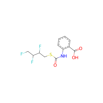 O=C(Nc1ccccc1C(=O)O)SCC(F)C(F)CF